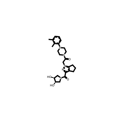 Cc1cccc(N2CCN(C(=O)Cn3nc(C(=O)N4C[C@@H](O)[C@@H](O)C4)c4c3CCC4)CC2)c1C